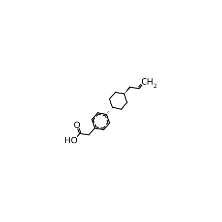 C=CC[C@H]1CC[C@H](c2ccc(CC(=O)O)cc2)CC1